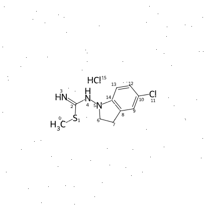 CSC(=N)NN1CCc2cc(Cl)ccc21.Cl